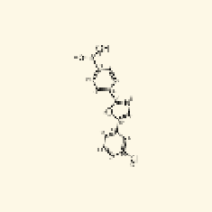 O=C(O)c1ccc(-c2ncc(-c3cccc(Cl)c3)o2)cc1